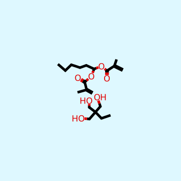 C=C(C)C(=O)OC(CCCCC)OC(=O)C(=C)C.CCC(CO)(CO)CO